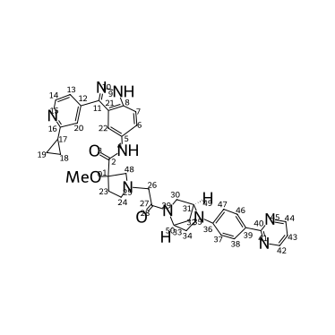 COC1(C(=O)Nc2ccc3[nH]nc(-c4ccnc(C5CC5)c4)c3c2)CCN(CC(=O)N2C[C@@H]3C[C@H]2CN3c2ccc(-c3ncccn3)cc2)C1